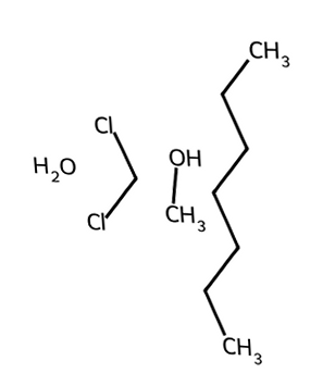 CCCCCCC.CO.ClCCl.O